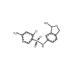 Nc1cc(Cl)c(S(=O)(=O)Nc2ccc3c(c2)B(O)OC3)cn1